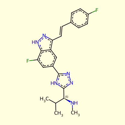 CN[C@H](c1nnc(-c2cc(F)c3[nH]nc(C=Cc4ccc(F)cc4)c3c2)[nH]1)C(C)C